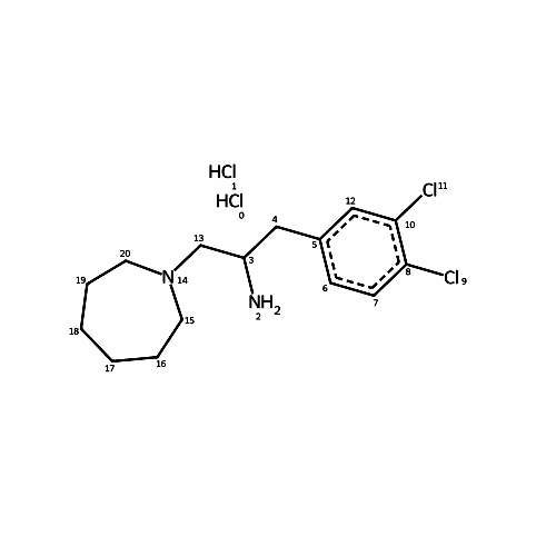 Cl.Cl.NC(Cc1ccc(Cl)c(Cl)c1)CN1CCCCCC1